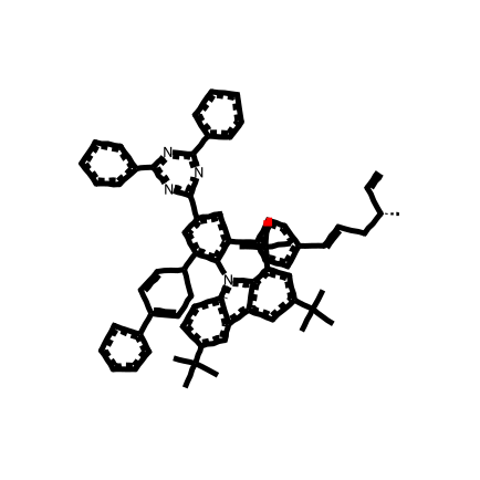 C=C[C@H](C)C/C=C/c1ccc(-c2cc(-c3nc(-c4ccccc4)nc(-c4ccccc4)n3)cc(C3C=CC(c4ccccc4)=CC3)c2-n2c3ccc(C(C)(C)C)cc3c3cc(C(C)(C)C)cc(C(C)(C)C)c32)cc1